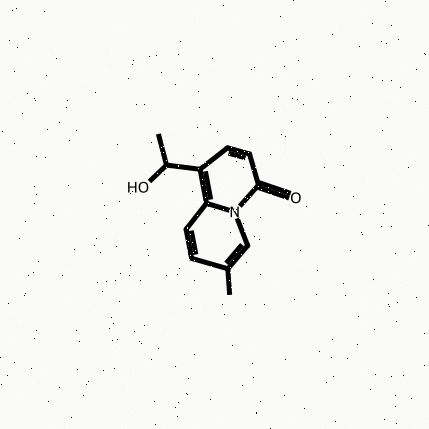 Cc1ccc2c(C(C)O)ccc(=O)n2c1